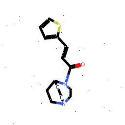 O=C(C=Cc1cccs1)N1CCN2CCC1CC2